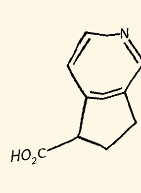 O=C(O)C1CCc2cnccc21